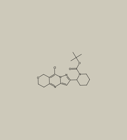 CC(C)(C)OC(=O)N1CCCCC1c1cc2nc3c(c(Cl)n2n1)COCC3